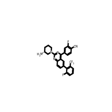 N#Cc1ccc(-c2nc(N3CCC[C@@H](N)C3)nc3ccc(-c4c(F)cccc4C(F)(F)F)cc23)cc1F